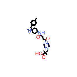 Cc1ccc(CC2(N(C)C)CCC(NC(=O)CCC(=O)N3CCN(CC(C)(C)C(=O)O)CC3)CC2)cc1